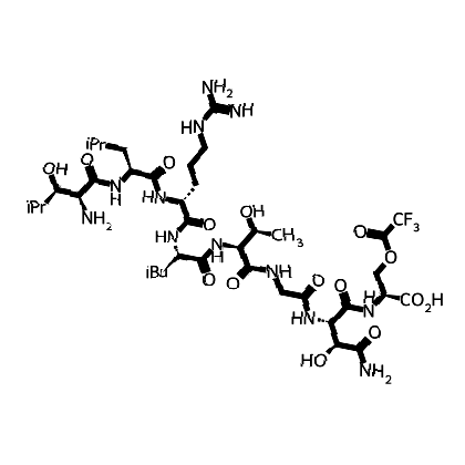 CC[C@H](C)[C@H](NC(=O)[C@@H](CCCNC(=N)N)NC(=O)[C@H](CC(C)C)NC(=O)[C@@H](N)[C@H](O)C(C)C)C(=O)N[C@H](C(=O)NCC(=O)N[C@H](C(=O)N[C@@H](COC(=O)C(F)(F)F)C(=O)O)[C@H](O)C(N)=O)[C@H](C)O